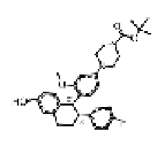 COc1cc(N2CCN(C(=O)OC(C)(C)C)CC2)ccc1[C@@H]1c2ccc(O)cc2CC[C@@H]1c1ccc(F)cc1